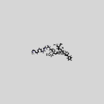 CC/C=C\C/C=C\C/C=C\C/C=C\C/C=C\C/C=C\CCC(=O)NC(CSSC(C)(C)C(NC(=O)c1cc(-c2ccccc2)on1)C(=O)NC(CO)CO)C(=O)O